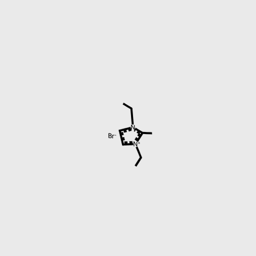 CCn1cc[n+](CC)c1C.[Br-]